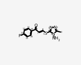 Cc1nnc(S/C=C/C(=O)c2ccc(F)cc2)n1N